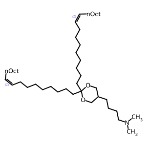 CCCCCCCC/C=C\CCCCCCCCC1(CCCCCCCC/C=C\CCCCCCCC)OCC(CCCCN(C)C)CO1